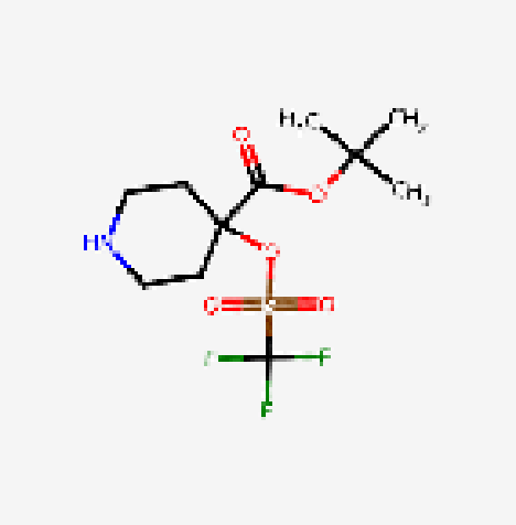 CC(C)(C)OC(=O)C1(OS(=O)(=O)C(F)(F)F)CCNCC1